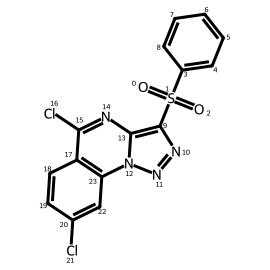 O=S(=O)(c1ccccc1)c1nnn2c1nc(Cl)c1ccc(Cl)cc12